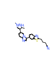 CC1NN(C)C=C1c1ccc2ncc(-c3ccc4nc(CCCC#N)sc4c3)n2c1